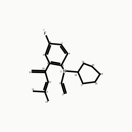 C=CN(c1ccc(F)cc1C(=C)C=C(C)C)C1CCCCC1